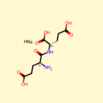 N[C@@H](CCC(=O)O)C(=O)N[C@@H](CCC(=O)O)C(=O)O.[NaH]